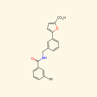 CC(C)c1cccc(C(=O)NCc2cccc(-c3ccc(C(=O)O)o3)c2)c1